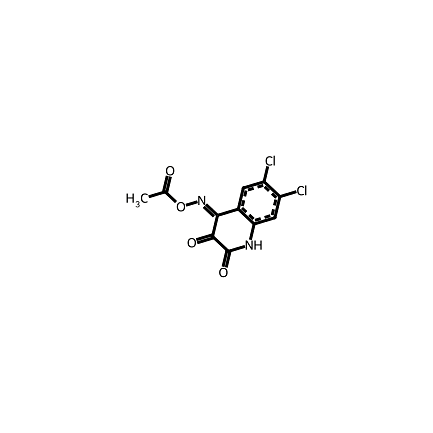 CC(=O)ON=C1C(=O)C(=O)Nc2cc(Cl)c(Cl)cc21